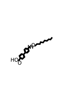 CCCCCCCCCCO/N=N/c1ccc(-c2ccc(C(=O)O)cc2)cc1